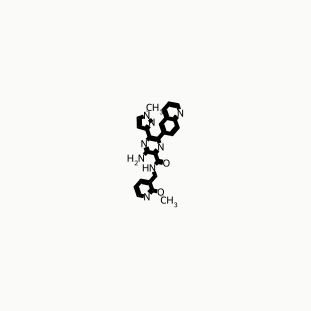 COc1ncccc1CNC(=O)c1nc(-c2ccc3ncccc3c2)c(-c2ccn(C)n2)nc1N